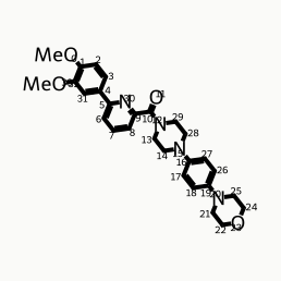 COc1ccc(-c2cccc(C(=O)N3CCN(c4ccc(N5CCOCC5)cc4)CC3)n2)cc1OC